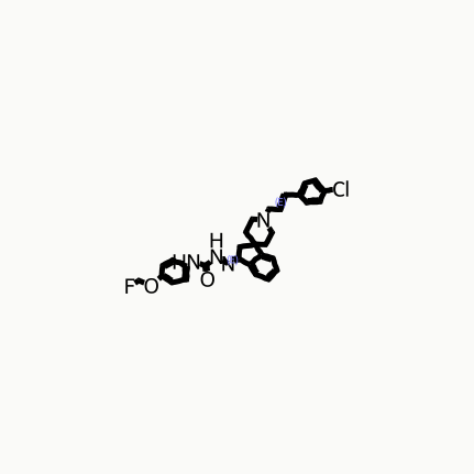 O=C(N/N=C1\CC2(CCN(C/C=C/c3ccc(Cl)cc3)CC2)c2ccccc21)Nc1ccc(OCF)cc1